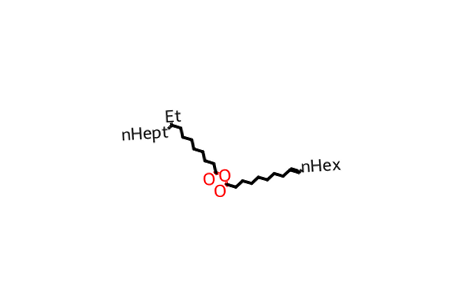 CCCCCCC=CCCCCCCCC(=O)OC(=O)CCCCCCCC(CC)CCCCCCC